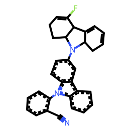 N#Cc1ccccc1-n1c2ccccc2c2cc(N3C4CC=CC=C4C4C(F)=CCCC43)ccc21